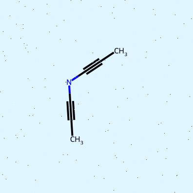 CC#C[N]C#CC